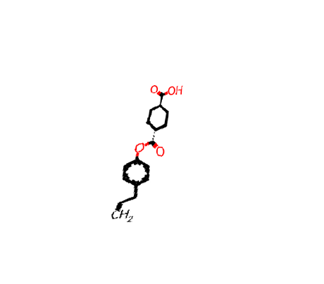 C=CCc1ccc(OC(=O)[C@H]2CC[C@H](C(=O)O)CC2)cc1